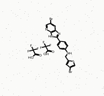 Brc1csc(CNc2ccc(-c3nc4cc(Br)cnc4[nH]3)cc2)c1.O=C(O)C(F)(F)F.O=C(O)C(F)(F)F